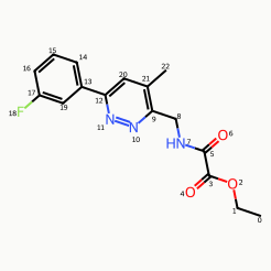 CCOC(=O)C(=O)NCc1nnc(-c2cccc(F)c2)cc1C